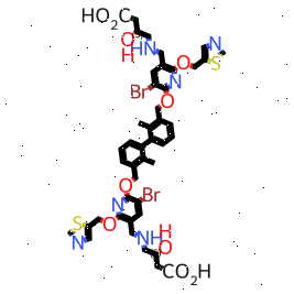 Cc1c(COc2nc(OCc3cncs3)c(CNC[C@@H](O)CC(=O)O)cc2Br)cccc1-c1cccc(COc2nc(OCc3cncs3)c(CNC[C@@H](O)CC(=O)O)cc2Br)c1C